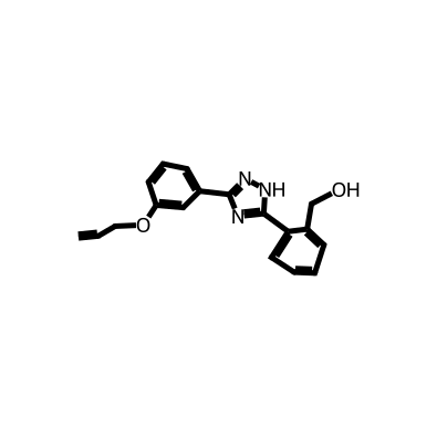 C=CCOc1cccc(-c2n[nH]c(-c3ccccc3CO)n2)c1